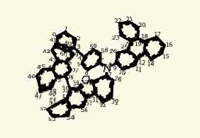 c1ccc(-c2ccc(N(c3ccc4c5ccccc5c5ccccc5c4c3)c3cccc4c3oc3c(-c5cc6ccccc6c6ccccc56)c5ccccc5cc34)cc2)cc1